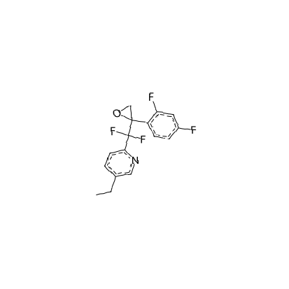 CCc1ccc(C(F)(F)C2(c3ccc(F)cc3F)CO2)nc1